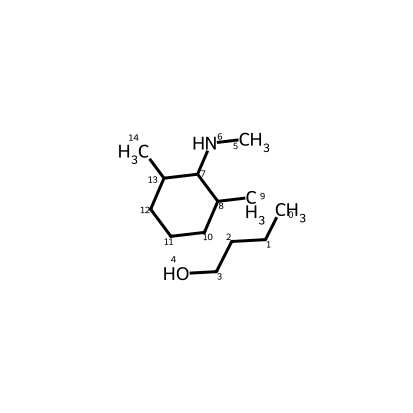 CCCCO.CNC1C(C)CCCC1C